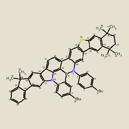 CC(C)(C)c1ccc(N2B3c4cc(C(C)(C)C)ccc4-n4c5cc6c(cc5c5ccc(c3c54)-c3cc4sc5cc7c(cc5c4cc32)C(C)(C)CCC7(C)C)C(C)(C)c2ccccc2-6)cc1